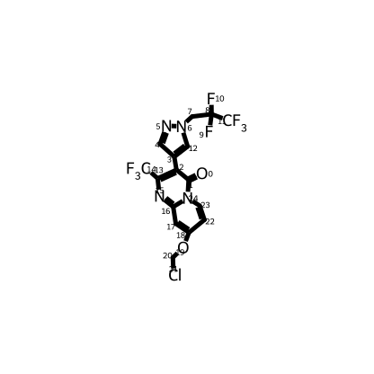 O=c1c(-c2cnn(CC(F)(F)C(F)(F)F)c2)c(C(F)(F)F)nc2cc(OCCl)ccn12